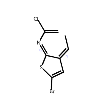 C=C(Cl)/N=C1/SC(Br)=C/C1=C/C